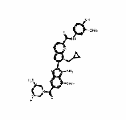 COc1cc(NC(=O)c2ccc3cc(-c4nc5cc(C(=O)N6C[C@H](N)C[C@@H](F)C6)cc(OC)c5n4C)n(CC4CC4)c3n2)ccc1O